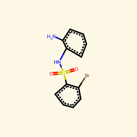 Nc1ccccc1NS(=O)(=O)c1ccccc1Br